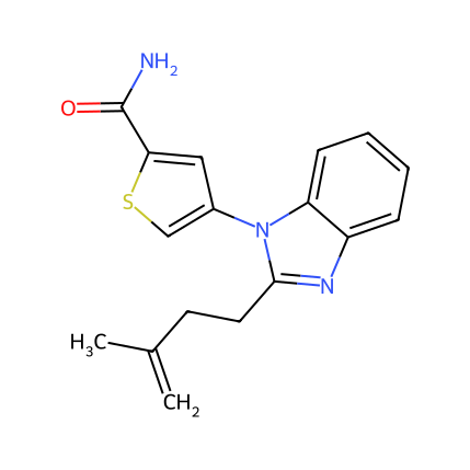 C=C(C)CCc1nc2ccccc2n1-c1csc(C(N)=O)c1